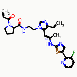 C=CC(=O)N1CCCC1C(=O)NCCn1cnc(C=C)c1/C=C(\C)Nc1ncc(-c2ncccc2F)s1